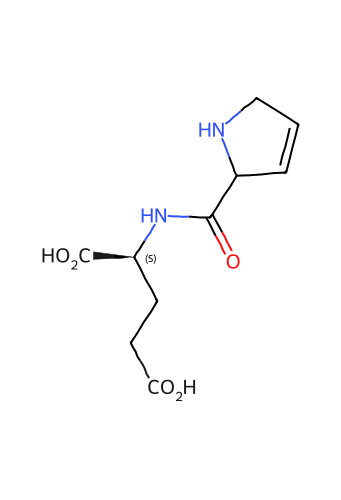 O=C(O)CC[C@H](NC(=O)C1C=CCN1)C(=O)O